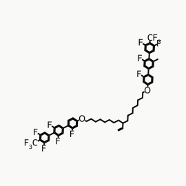 C=CC(CCCCCCCCOc1ccc(-c2cc(C)c(-c3cc(F)c(C(F)(F)F)c(F)c3)c(F)c2)c(F)c1)CCCCCCCCOc1ccc(-c2cc(F)c(-c3cc(F)c(C(F)(F)F)c(F)c3)c(F)c2)c(F)c1